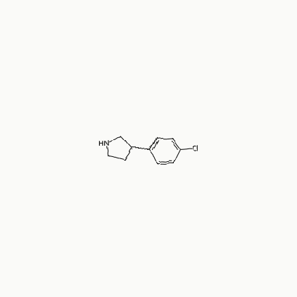 Clc1ccc([C]2CCNC2)cc1